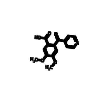 COc1cc(C(=O)O)c(C(=O)c2ccncc2)cc1OC